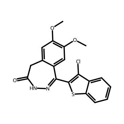 COc1cc2c(cc1OC)C(c1sc3ccccc3c1Cl)=NNC(=O)C2